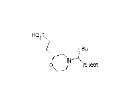 CCCCCCCC(CCCC)N1CCO[C@H](CCC(=O)O)C1